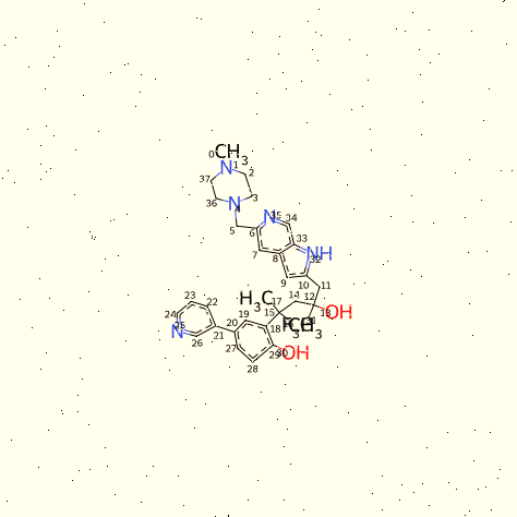 CN1CCN(Cc2cc3cc(CC(O)(CC(C)(C)c4cc(-c5cccnc5)ccc4O)C(F)(F)F)[nH]c3cn2)CC1